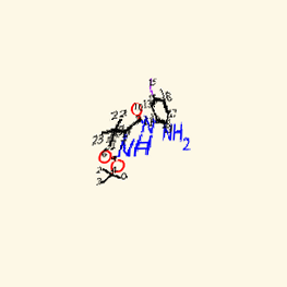 CC(C)(C)OC(=O)N[C@H](C(=O)Nc1cc(I)ccc1N)C(C)(C)C